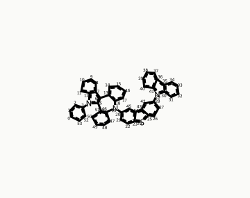 c1ccc(-n2c3c(c4ccccc42)-c2ccccc2N(c2ccc4sc5ccc(-n6c7ccccc7c7ccccc76)cc5c4c2)c2ccccc2-3)cc1